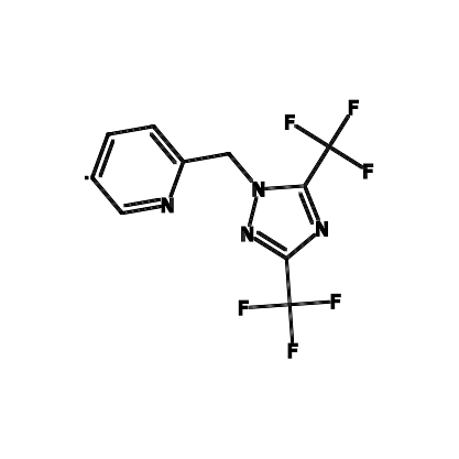 FC(F)(F)c1nc(C(F)(F)F)n(Cc2cc[c]cn2)n1